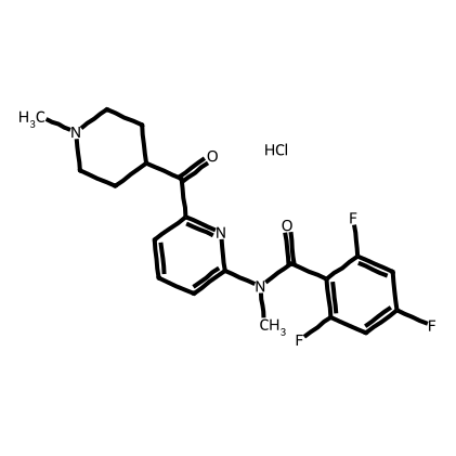 CN1CCC(C(=O)c2cccc(N(C)C(=O)c3c(F)cc(F)cc3F)n2)CC1.Cl